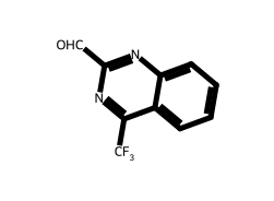 O=Cc1nc(C(F)(F)F)c2ccccc2n1